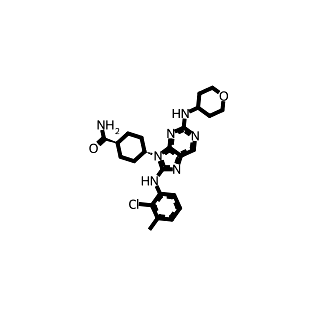 Cc1cccc(Nc2nc3cnc(NC4CCOCC4)nc3n2[C@H]2CC[C@H](C(N)=O)CC2)c1Cl